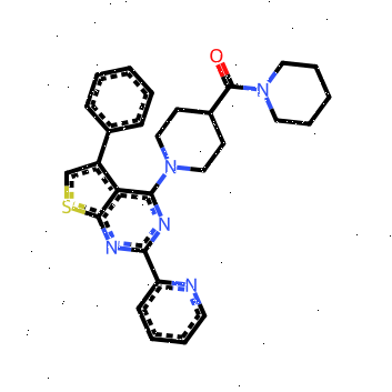 O=C(C1CCN(c2nc(-c3ccccn3)nc3scc(-c4ccccc4)c23)CC1)N1CCCCC1